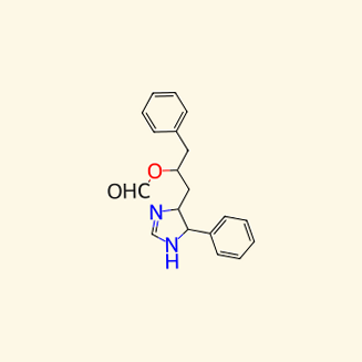 O=COC(Cc1ccccc1)CC1N=CNC1c1ccccc1